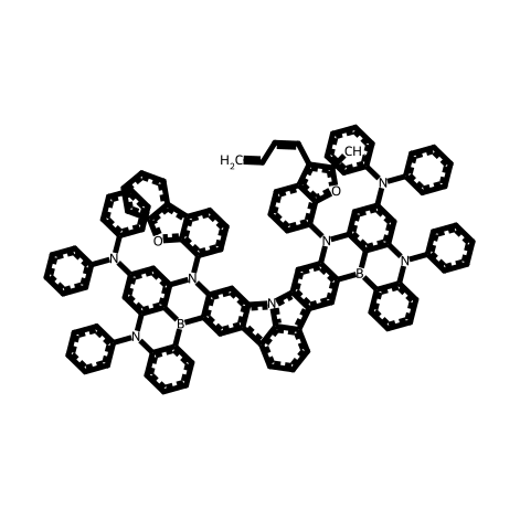 C=C/C=C\c1c(C)oc2c(N3c4cc5c(cc4B4c6ccccc6N(c6ccccc6)c6cc(N(c7ccccc7)c7ccccc7)cc3c64)c3cccc4c6cc7c(cc6n5c34)N(c3cccc4c3oc3ccccc34)c3cc(N(c4ccccc4)c4ccccc4)cc4c3B7c3ccccc3N4c3ccccc3)cccc12